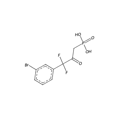 O=C(CP(=O)(O)O)C(F)(F)c1cccc(Br)c1